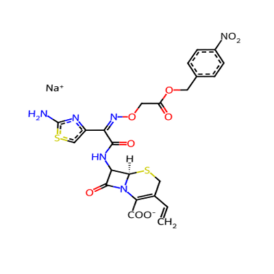 C=CC1=C(C(=O)[O-])N2C(=O)C(NC(=O)/C(=N\OCC(=O)OCc3ccc([N+](=O)[O-])cc3)c3csc(N)n3)[C@H]2SC1.[Na+]